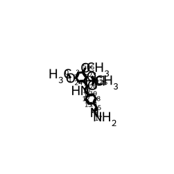 COc1cc(OC)cc(C(Nc2ccc(C=NN)cc2)OC(C)=O)c1.Cl